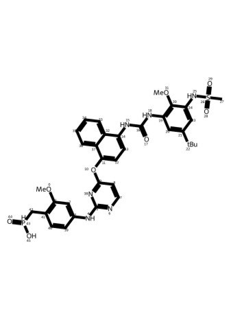 COc1cc(Nc2nccc(Oc3ccc(NC(=O)Nc4cc(C(C)(C)C)cc(NS(C)(=O)=O)c4OC)c4ccccc34)n2)ccc1C[PH](=O)O